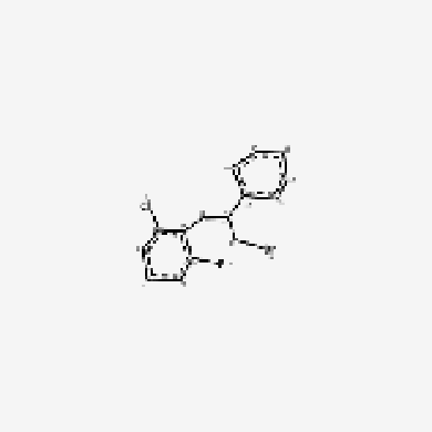 Fc1cccc(Cl)c1C=C(CBr)c1ccccc1